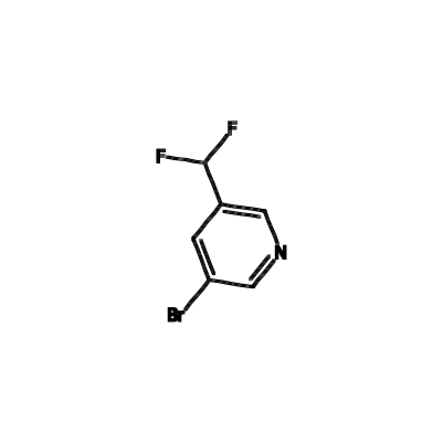 FC(F)c1cncc(Br)c1